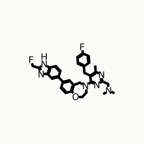 Cc1nc(CN(C)C)nc(N2CCOc3ccc(-c4ccc5[nH]c(CF)nc5c4)cc3C2)c1Cc1ccc(F)cc1